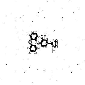 FC(F)(F)c1cc(-c2nnn[nH]2)ccc1N1c2ccccc2Oc2ccccc21